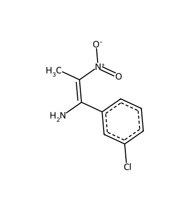 CC(=C(N)c1cccc(Cl)c1)[N+](=O)[O-]